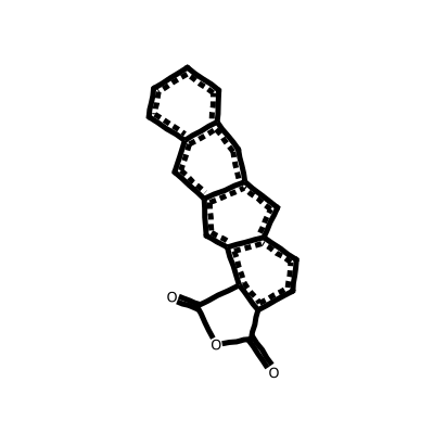 O=C1OC(=O)c2c1ccc1cc3cc4ccccc4cc3cc21